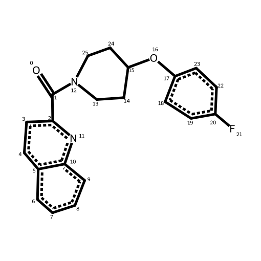 O=C(c1ccc2ccccc2n1)N1CCC(Oc2ccc(F)cc2)CC1